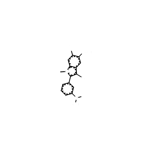 Cn1c(-c2cccc(N(C=O)C(=O)O)c2)c(I)c2cc(C(=O)O)c(O)cc21